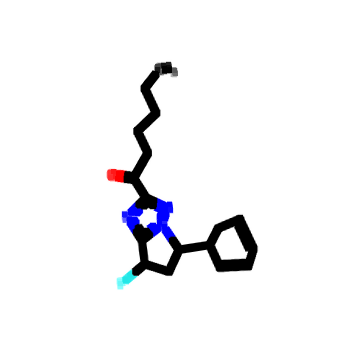 CCCCCC(=O)c1nc2n(n1)C(C1C=CC=CC1)CC2F